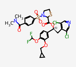 CN(C)C(=O)c1ccc(S(=O)(=O)N2CCSC2C(=O)O[C@@H](Cc2c(Cl)cncc2Cl)c2ccc(OC(F)F)c(OCC3CC3)c2)cc1